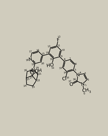 Cn1ccn(-c2ccc(-c3cc(F)cc(-c4ccnc(N5CC6CCC(C5)C6(C)O)c4)c3O)cc2Cl)c1=O